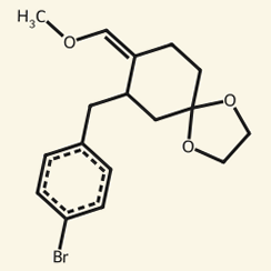 CO/C=C1/CCC2(CC1Cc1ccc(Br)cc1)OCCO2